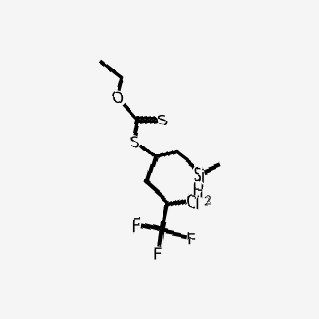 CCOC(=S)SC(C[SiH2]C)CC(Cl)C(F)(F)F